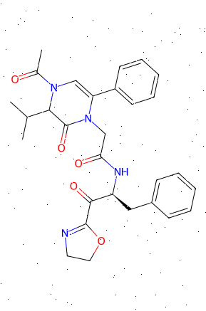 CC(=O)N1C=C(c2ccccc2)N(CC(=O)N[C@@H](Cc2ccccc2)C(=O)C2=NCCO2)C(=O)C1C(C)C